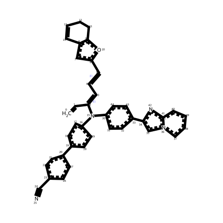 C=C/C(=C\C=C\c1cc2c(o1)CCC=C2)N(c1ccc(-c2ccc(C#N)cc2)cc1)c1ccc(-c2cn3ccccc3n2)cc1